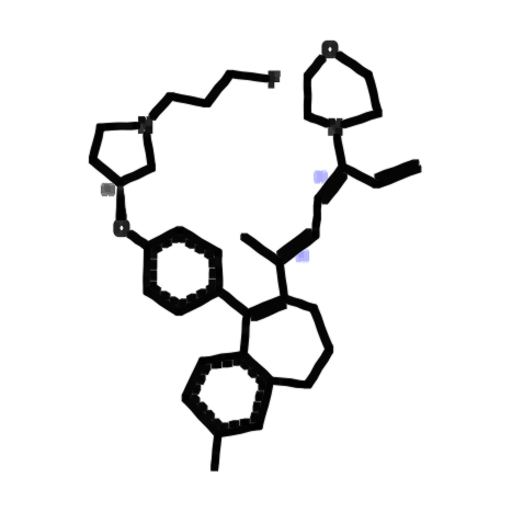 C=C/C(=C\C=C(/C)C1=C(c2ccc(O[C@H]3CCN(CCCF)C3)cc2)c2ccc(C)cc2CCC1)N1CCOCC1